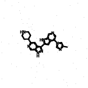 Cc1cn(-c2cncc3[nH]c(-c4n[nH]c5cnc(C6CCNCC6)cc45)cc23)cn1